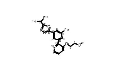 COCCOc1cccnc1-c1cc(F)cc(-c2nnc(C(F)F)o2)c1